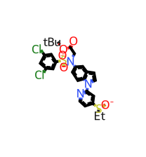 CC[S+]([O-])c1ccnc(-n2ccc3cc(N(CC(=O)OC(C)(C)C)S(=O)(=O)c4cc(Cl)cc(Cl)c4)ccc32)c1